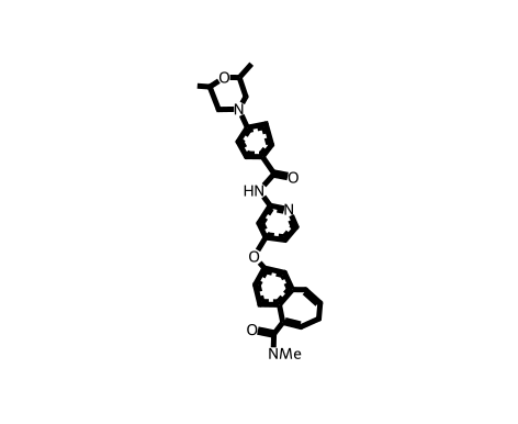 CNC(=O)C1=CCC=Cc2cc(Oc3ccnc(NC(=O)c4ccc(N5CC(C)OC(C)C5)cc4)c3)ccc21